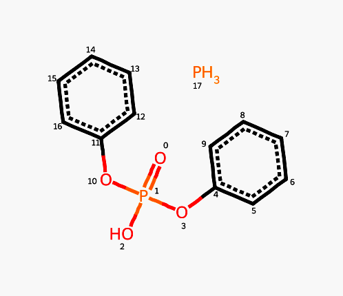 O=P(O)(Oc1ccccc1)Oc1ccccc1.P